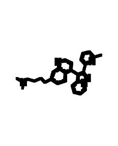 Cc1cccc(-c2nn3ccccc3c2-c2ccnc3cc(CCCCN(C)C)ccc23)n1